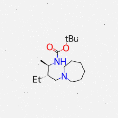 CC[C@@H](CN1CCCCCC1)[C@@H](C)NC(=O)OC(C)(C)C